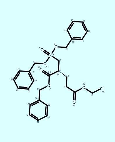 O=C(CC[C@@H](CP(=O)(OCc1ccccc1)OCc1ccccc1)C(=O)OCc1ccccc1)OCCl